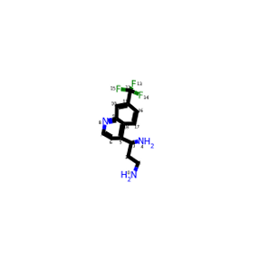 NCCC(N)c1ccnc2cc(C(F)(F)F)ccc12